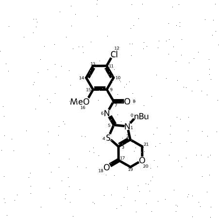 CCCCn1c2c(sc1=NC(=O)c1cc(Cl)ccc1OC)C(=O)COC2